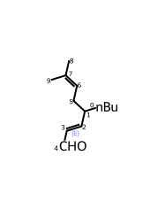 CCCCC(/C=C/C=O)CC=C(C)C